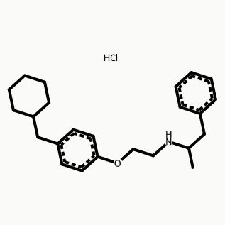 CC(Cc1ccccc1)NCCOc1ccc(CC2CCCCC2)cc1.Cl